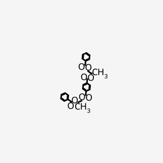 CC(COC(=O)c1ccc(C(=O)OC(C)COC(=O)c2ccccc2)cc1)OC(=O)c1ccccc1